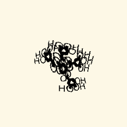 O=C(OC1OC[C@@H](OC(=O)c2cc(O)c(O)c(O)c2)[C@H](OC(=O)c2cc(O)c(O)c(O)c2)[C@H]1OC(=O)c1cc(O)c(O)c(O)c1)c1cc(O)c(O)c(O)c1